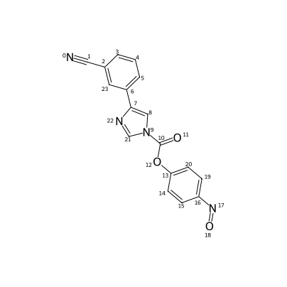 N#Cc1cccc(-c2cn(C(=O)Oc3ccc(N=O)cc3)cn2)c1